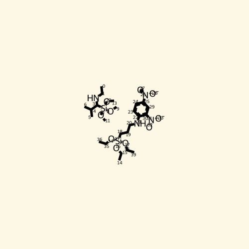 CCNC(C(C)C)[Si](OC)(OC)OC.CCO[Si](CCCNc1ccc([N+](=O)[O-])cc1[N+](=O)[O-])(OCC)OCC